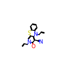 C=CCN1c2ccccc2Sc2cn(CC=C)c(=O)c(C#N)c21